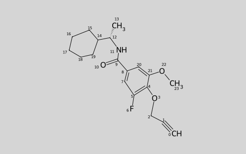 C#CCOc1c(F)cc(C(=O)N[C@@H](C)C2CCCCC2)cc1OC